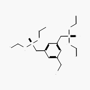 CCOP(=O)(Cc1cc(CBr)cc(CP(=O)(OCC)OCC)c1)OCC